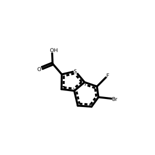 O=C(O)c1cc2ccc(Br)c(F)c2s1